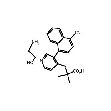 CC(C)(Sc1ccncc1-c1ccc(C#N)c2ccccc12)C(=O)O.NCCO